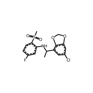 CC(Nc1cc(F)ccc1S(C)(=O)=O)c1cc(Cl)cc2c1OCO2